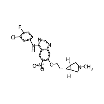 CN1C[C@@H]2[C@@H](CCOc3cc4ncnc(Nc5ccc(F)c(Cl)c5)c4cc3[N+](=O)[O-])[C@@H]2C1